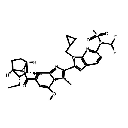 CC[C@H]1[C@@H](N)[C@H]2CC[C@@H]1N2C(=O)c1cc(OC)n2c(C)c(-c3cc4ccc(N(C(F)F)S(C)(=O)=O)nc4n3CC3CC3)nc2c1